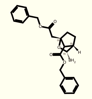 B[C@@H]1O[C@]2(CC(=O)OCc3ccccc3)CC[C@H]1C2C(=O)OCc1ccccc1